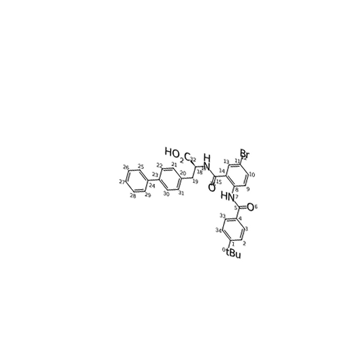 CC(C)(C)c1ccc(C(=O)Nc2ccc(Br)cc2C(=O)N[C@@H](Cc2ccc(-c3ccccc3)cc2)C(=O)O)cc1